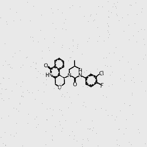 CC(C)CN(C(=O)Nc1ccc(F)c(Cl)c1)C1COCc2[nH]c(=O)c3ccccc3c21